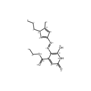 CCCn1nc(N=Nc2c(C(=O)OCC)cc(=O)[nH]c2O)cc1C